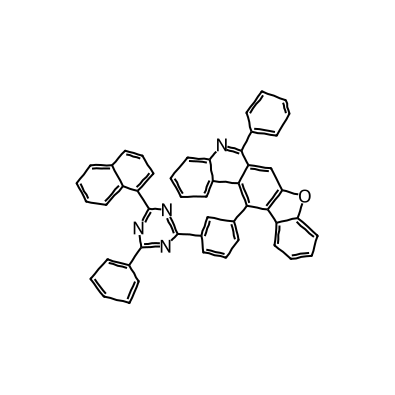 c1ccc(-c2nc(-c3cccc(-c4c5c(cc6c(-c7ccccc7)nc7ccccc7c46)oc4ccccc45)c3)nc(-c3cccc4ccccc34)n2)cc1